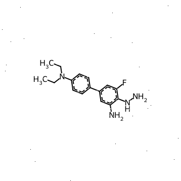 CCN(CC)c1ccc(-c2cc(N)c(NN)c(F)c2)cc1